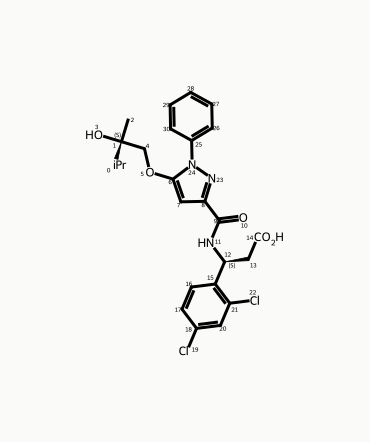 CC(C)[C@](C)(O)COc1cc(C(=O)N[C@@H](CC(=O)O)c2ccc(Cl)cc2Cl)nn1-c1ccccc1